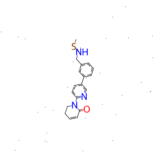 CSNCc1cccc(-c2ccc(N3CCC=CC3=O)nc2)c1